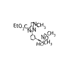 CCOC(=O)c1nc(-c2cccc(C#C[C@](C)(O)c3ncc(C)o3)c2)nc2c1ccn2C